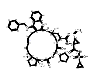 C=C[C@@H]1C[C@]1(NC(=O)[C@@H]1C[C@@H]2CN1C(=O)[C@H](C1CCCC1)NC(=O)O[C@]1(C)CCC[C@H]1CC/C=C/Cc1c(nc3ccccc3c1OCc1ccccc1)O2)C(=O)NS(=O)(=O)C1CC1